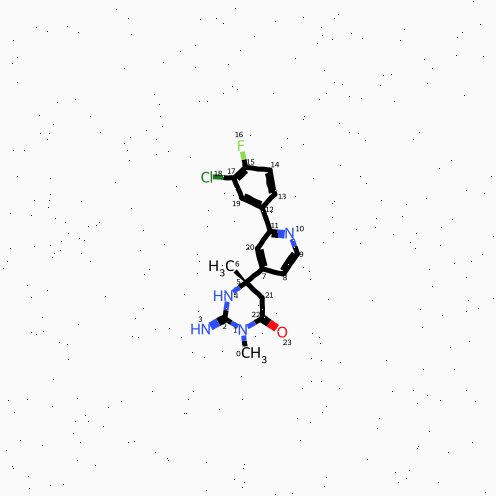 CN1C(=N)N[C@](C)(c2ccnc(-c3ccc(F)c(Cl)c3)c2)CC1=O